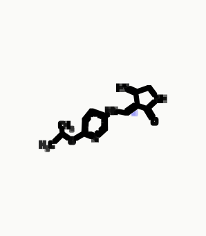 CC(C)Oc1ccc(N/C=C2\C(=N)CNC2=O)cn1